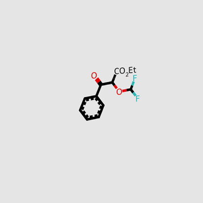 CCOC(=O)C(OC(F)F)C(=O)c1ccccc1